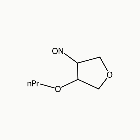 CCCOC1COCC1N=O